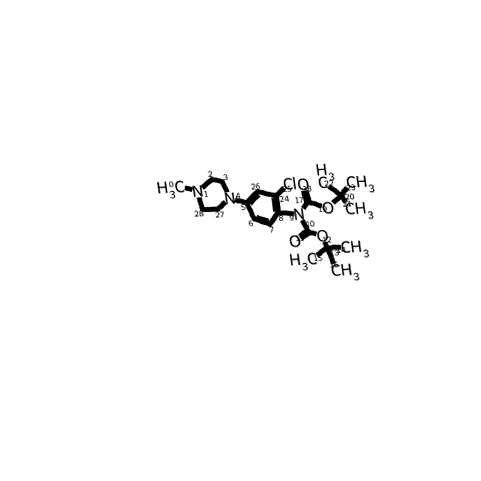 CN1CCN(c2ccc(N(C(=O)OC(C)(C)C)C(=O)OC(C)(C)C)c(Cl)c2)CC1